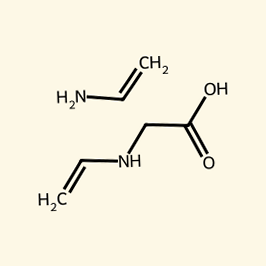 C=CN.C=CNCC(=O)O